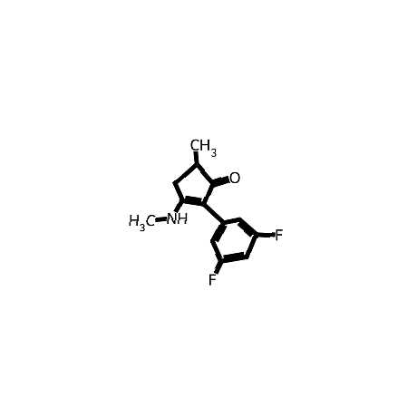 CNC1=C(c2cc(F)cc(F)c2)C(=O)C(C)C1